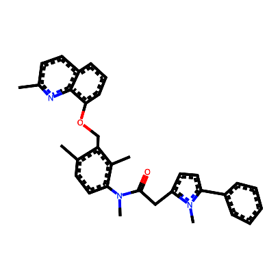 Cc1ccc2cccc(OCc3c(C)ccc(N(C)C(=O)Cc4ccc(-c5ccccc5)n4C)c3C)c2n1